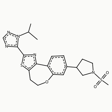 CC(C)n1ncnc1-c1nc2c(s1)CCOc1cc(C3CCN(S(C)(=O)=O)C3)ccc1-2